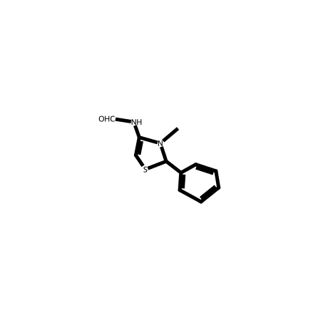 CN1C(NC=O)=CSC1c1ccccc1